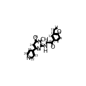 Cn1c(NCC(=O)c2ccc3c(c2)CCO3)nc(-c2ccncc2)cc1=O